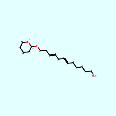 OCCCCCC=CCC=CCCOC1CCCCO1